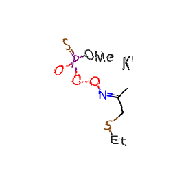 CCSCC(C)=NOOP([O-])(=S)OC.[K+]